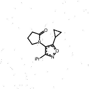 CC(C)c1noc(C2CC2)c1N1CCCC1=O